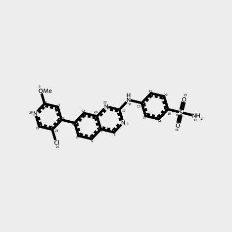 COc1cc(-c2ccc3cnc(Nc4ccc(S(N)(=O)=O)cc4)nc3c2)c(Cl)cn1